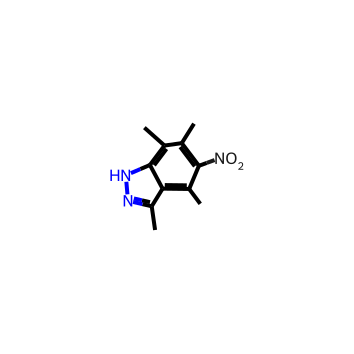 Cc1c([N+](=O)[O-])c(C)c2c(C)n[nH]c2c1C